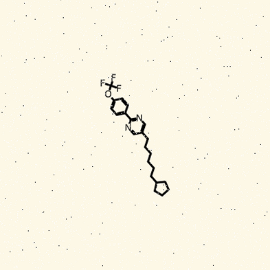 FC(F)(F)Oc1ccc(-c2ncc(CCCCCCC3CCCC3)cn2)cc1